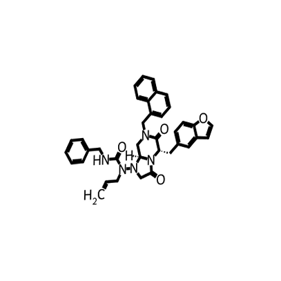 C=CCN(C(=O)NCc1ccccc1)N1CC(=O)N2[C@@H](Cc3ccc4occc4c3)C(=O)N(Cc3cccc4ccccc34)C[C@@H]21